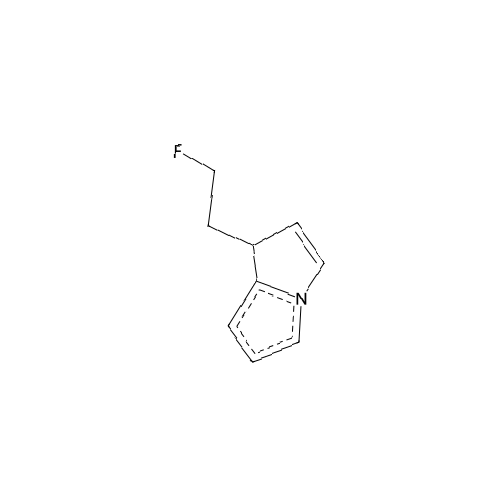 FCCC1C=Cn2cccc21